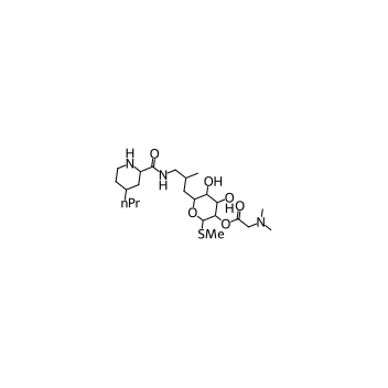 CCCC1CCNC(C(=O)NCC(C)CC2OC(SC)C(OC(=O)CN(C)C)C(O)C2O)C1